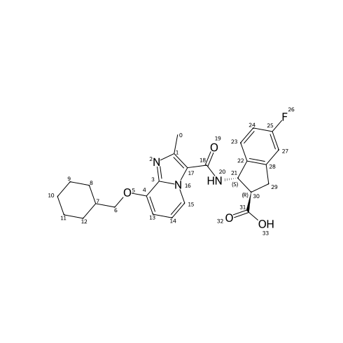 Cc1nc2c(OCC3CCCCC3)cccn2c1C(=O)N[C@@H]1c2ccc(F)cc2C[C@H]1C(=O)O